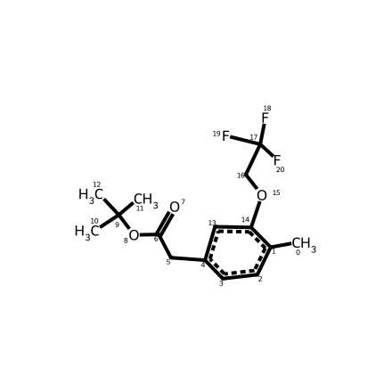 Cc1ccc(CC(=O)OC(C)(C)C)cc1OCC(F)(F)F